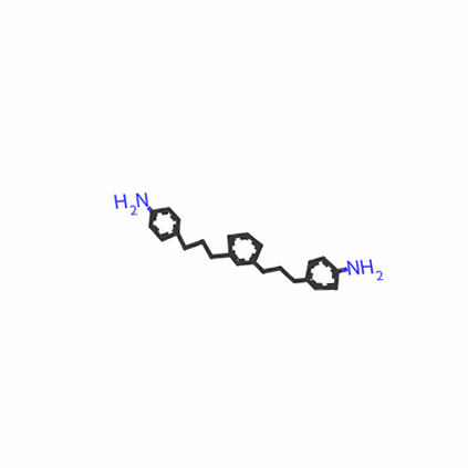 Nc1ccc(CCCc2cccc(CCCc3ccc(N)cc3)c2)cc1